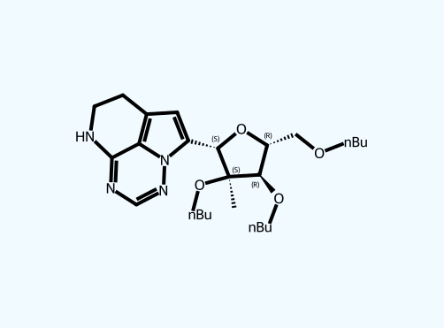 CCCCOC[C@H]1O[C@@H](c2cc3c4c(ncnn24)NCC3)[C@](C)(OCCCC)[C@@H]1OCCCC